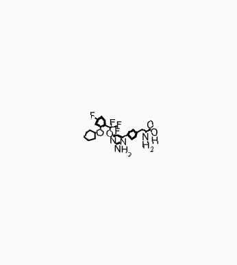 Nc1nc(OC(c2ccc(F)cc2OC2CCCCC2)C(F)(F)F)cc(-c2ccc(CC(N)C(=O)O)cc2)n1